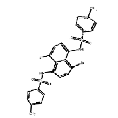 Cc1ccc(S(=O)(=O)Nc2ccc(Br)c3c(NS(=O)(=O)c4ccc(C)cc4)ccc(Br)c23)cc1